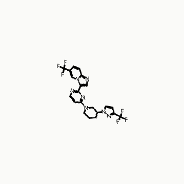 FC(F)(F)c1ccc2ncc(-c3nccc(N4CCCC(n5ccc(C(F)(F)F)n5)C4)n3)n2c1